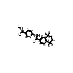 COC(=O)c1ccc(NC(=O)c2ccc3c(c2)C(C)(C)CCC3(C)C)nc1